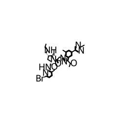 CCNC[C@H]1C[C@@H](C(=O)Nc2nc(Br)ccc2C)N(C(=O)Cn2nc(C(C)=O)c3cc(-c4cnc(C)nc4)cc(C)c32)[C@@H]1I